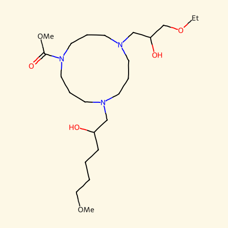 CCOCC(O)CN1CCCN(CC(O)CCCCOC)CCCN(C(=O)OC)CCC1